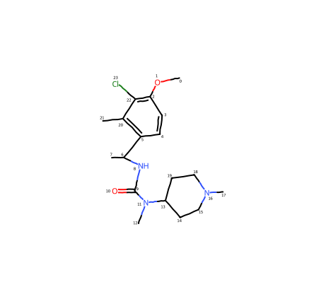 COc1ccc(C(C)NC(=O)N(C)C2CCN(C)CC2)c(C)c1Cl